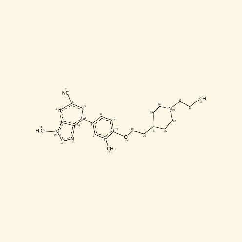 Cc1cc(-c2nc(C#N)nc3c2ncn3C)ccc1OCCC1CCN(CCO)CC1